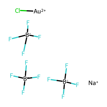 F[B-](F)(F)F.F[B-](F)(F)F.F[B-](F)(F)F.[Cl][Au+2].[Na+]